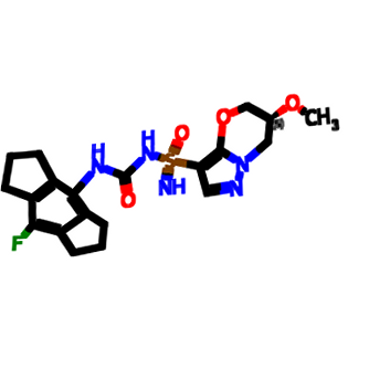 CO[C@@H]1COc2c(S(=N)(=O)NC(=O)Nc3c4c(c(F)c5c3CCC5)CCC4)cnn2C1